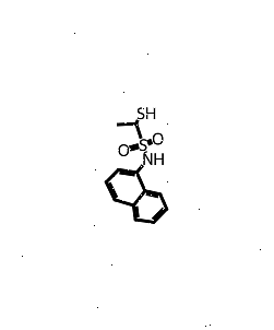 CC(S)S(=O)(=O)Nc1cccc2ccccc12